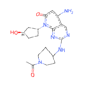 CC(=O)N1CCC(Nc2ncc3c(N)cc(=O)n(C4CC[C@@H](O)C4)c3n2)CC1